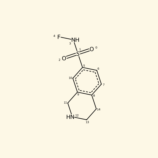 O=S(=O)(NF)c1ccc2c(c1)CNCC2